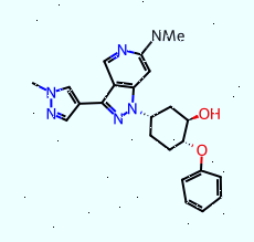 CNc1cc2c(cn1)c(-c1cnn(C)c1)nn2[C@H]1CC[C@@H](Oc2ccccc2)[C@H](O)C1